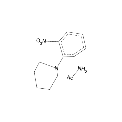 CC(N)=O.O=[N+]([O-])c1ccccc1N1CCCCC1